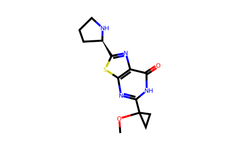 COC1(c2nc3sc([C@H]4CCCN4)nc3c(=O)[nH]2)CC1